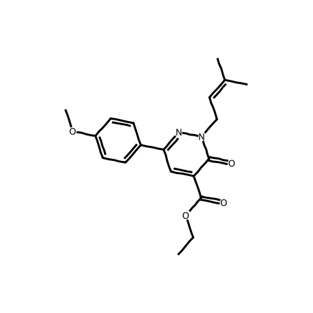 CCOC(=O)c1cc(-c2ccc(OC)cc2)nn(CC=C(C)C)c1=O